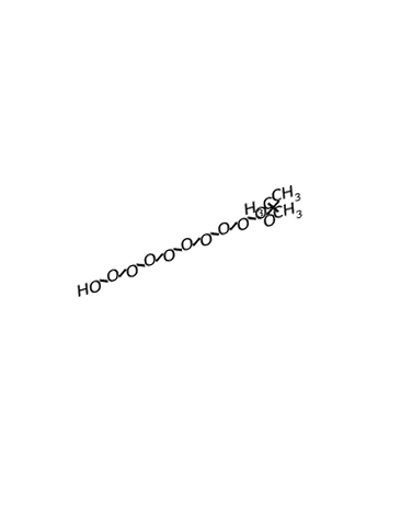 CCC(C)(C)C(=O)OCCOCCOCCOCCOCCOCCOCCOCCOCCO